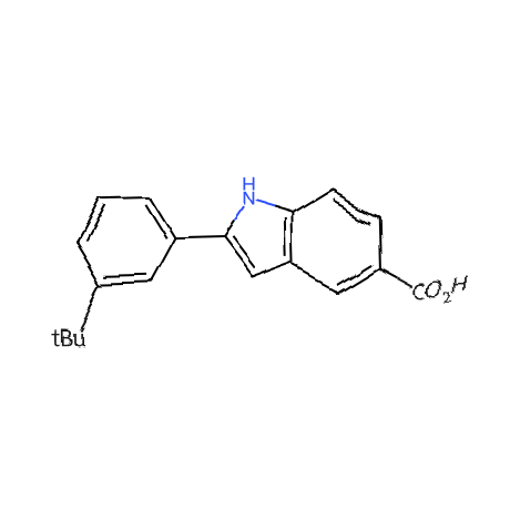 CC(C)(C)c1cccc(-c2cc3cc(C(=O)O)ccc3[nH]2)c1